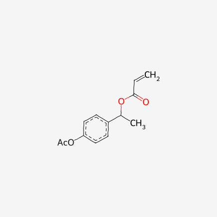 C=CC(=O)OC(C)c1ccc(OC(C)=O)cc1